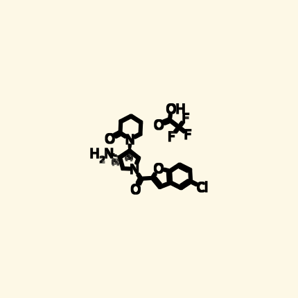 N[C@H]1CN(C(=O)c2cc3cc(Cl)ccc3o2)C[C@@H]1N1CCCCC1=O.O=C(O)C(F)(F)F